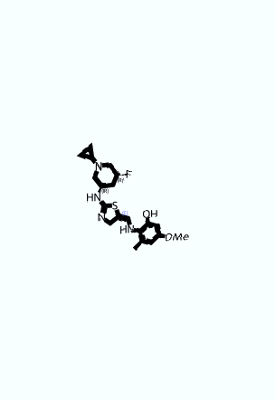 COc1cc(C)c(N/C=C2\CN=C(N[C@@H]3C[C@@H](F)CN(C4CC4)C3)S2)c(O)c1